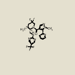 C[C@@H]1CC(F)(F)CN(C(=O)c2cnn(C)c2-c2ccccn2)[C@@H]1CNc1ncc(C(F)(F)F)cn1